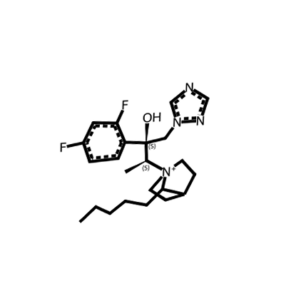 CCCCCC1C2CC[N+]1([C@@H](C)[C@@](O)(Cn1cncn1)c1ccc(F)cc1F)CC2